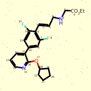 CCOC(=O)CNC/C=C/c1c(F)cc(-c2cccnc2OC2CCCC2)cc1F